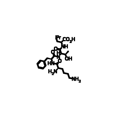 CC(C)C[C@H](NC(=O)[C@@H](NC(=O)[C@H](Cc1ccccc1)NC(=O)[C@@H](N)CCCCN)[C@@H](C)O)C(=O)O